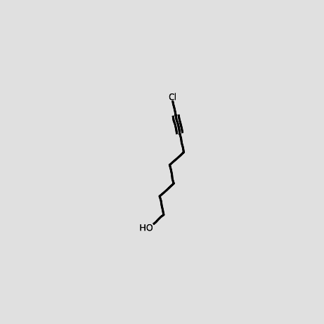 OCCCCCC#CCl